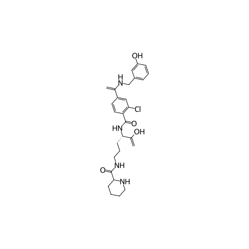 C=C(NCc1cccc(O)c1)c1ccc(C(=O)N[C@@H](CCCNC(=O)C2CCCCN2)C(=C)O)c(Cl)c1